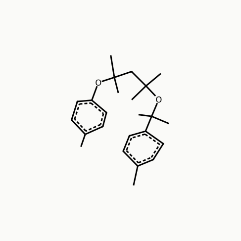 Cc1ccc(OC(C)(C)CC(C)(C)OC(C)(C)c2ccc(C)cc2)cc1